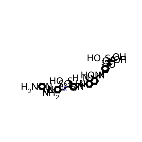 Nc1ccc(N=Nc2ccc(/C=C/c3ccc(N=Nc4ccc5ccc(N=Nc6ccc(S(=O)(=O)C(CO)(CO)S(=O)(=O)O)cc6)c(O)c5c4N)cc3S(=O)(=O)O)c(S(=O)(=O)O)c2)c(N)c1